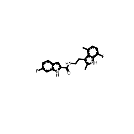 Cc1[nH]c2c(F)ccc(C)c2c1CCNC(=O)c1cc2ccc(F)cc2[nH]1